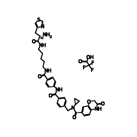 N[C@@H](Cc1cscn1)C(=O)NCCCCCNC(=O)c1ccc(NC(=O)c2ccc(CN(C(=O)c3ccc4c(c3)OCC(=O)N4)C3CC3)cc2)cc1.O=C(O)C(F)(F)F